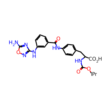 CC(C)OC(=O)NC(Cc1ccc(NC(=O)c2cccc(Nc3noc(N)n3)c2)cc1)C(=O)O